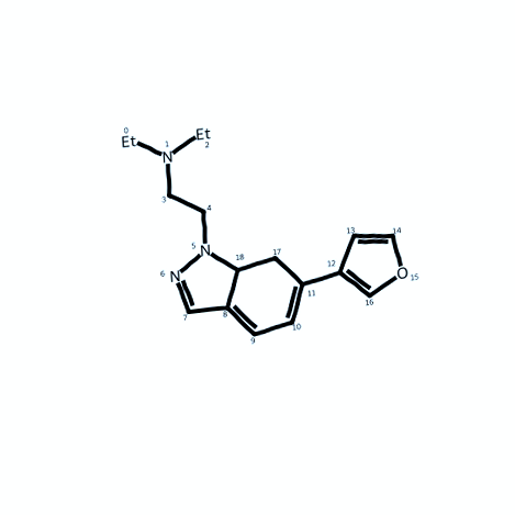 CCN(CC)CCN1N=CC2=CC=C(c3ccoc3)CC21